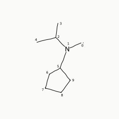 [CH2]N(C(C)C)C1CCCC1